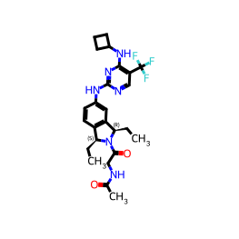 CC[C@@H]1c2cc(Nc3ncc(C(F)(F)F)c(NC4CCC4)n3)ccc2[C@H](CC)N1C(=O)CNC(C)=O